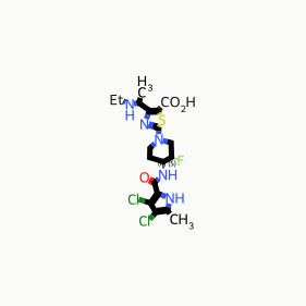 CCNC(C)c1nc(N2CC[C@@H](NC(=O)c3[nH]c(C)c(Cl)c3Cl)[C@@H](F)C2)sc1C(=O)O